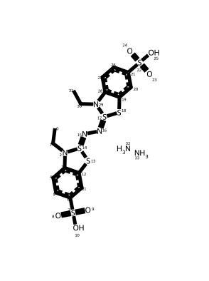 CCN1c2ccc(S(=O)(=O)O)cc2SS1=NN=S1Sc2cc(S(=O)(=O)O)ccc2N1CC.N.N